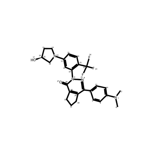 CN(C)c1ccc(-c2nn(-c3cc(N4CC[C@H](O)C4)ccc3C(F)(F)F)c(=O)c3c2CCC3)cc1